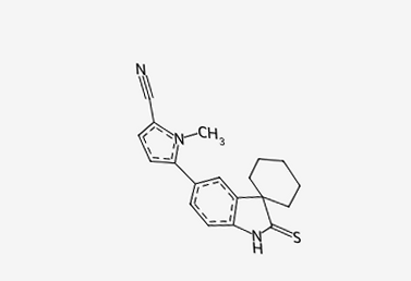 Cn1c(C#N)ccc1-c1ccc2c(c1)C1(CCCCC1)C(=S)N2